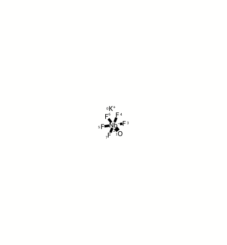 [K+].[O]=[Nb-]([F])([F])([F])([F])[F]